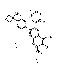 C=C(/C=C\C)c1cc2c(nc1-c1ccc(C3(N)CCC3)cc1)O[C@H](C)C(=O)N2C